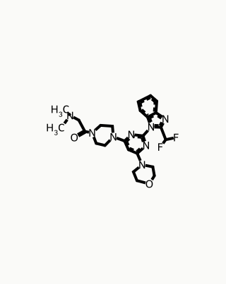 CN(C)CC(=O)N1CCN(c2cc(N3CCOCC3)nc(-n3c(C(F)F)nc4ccccc43)n2)CC1